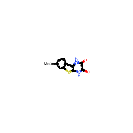 COc1ccc2c(c1)sc1[nH]c(=O)c(=O)[nH]c12